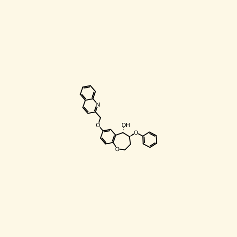 O[C@H]1c2cc(OCc3ccc4ccccc4n3)ccc2OCC[C@@H]1Oc1ccccc1